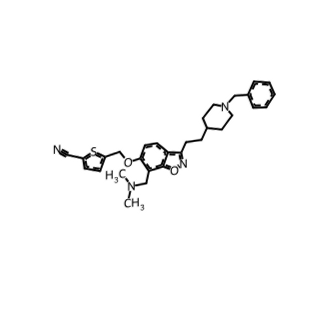 CN(C)Cc1c(OCc2ccc(C#N)s2)ccc2c(CCC3CCN(Cc4ccccc4)CC3)noc12